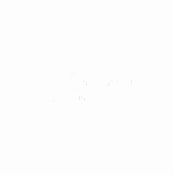 CNS(=O)(=O)c1cccc(Nc2ncnc3cc(O)c(OC)cc23)c1OC(F)C(F)F